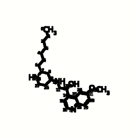 CCCCCCC[C@H]1CC(NCC(O)c2ccnc3ccc(OC)cc23)CCN1